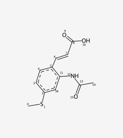 CSc1ccc(C=CC(=O)O)c(NC(C)=O)c1